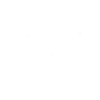 Cc1ccc([O-])cc1.Cc1ccc([O-])cc1.Cc1ccc([O-])cc1.[Ga+3]